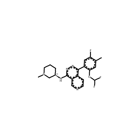 Cc1cc(OC(F)F)c(-c2nnc(N[C@@H]3CCCN(C)C3)c3cnccc23)cc1F